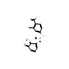 O=C(O)c1ccc(NS(=O)(=O)c2cccc3nsnc23)cc1O